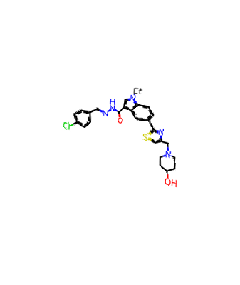 CCn1cc(C(=O)N/N=C/c2ccc(Cl)cc2)c2cc(-c3nc(CN4CCC(O)CC4)cs3)ccc21